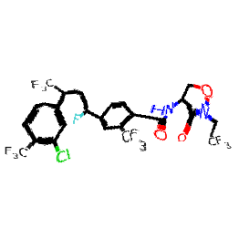 O=C(NC1CON(CC(F)(F)F)C1=O)c1ccc(/C(F)=C/C(c2ccc(C(F)(F)F)c(Cl)c2)C(F)(F)F)cc1C(F)(F)F